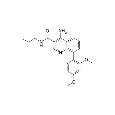 CCCNC(=O)c1nnc2c(-c3ccc(OC)cc3OC)cccc2c1N